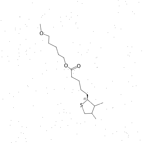 COCCCCCOC(=O)CCCC[C@@H]1SCC(C)C1C